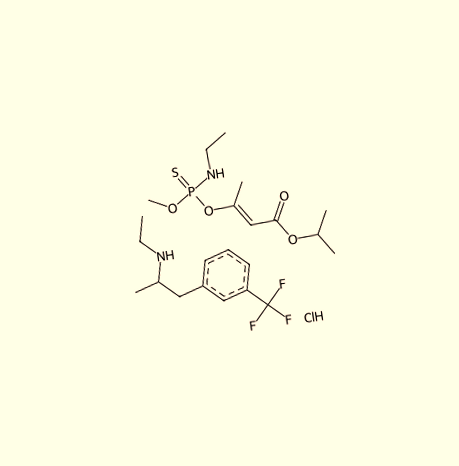 CCNC(C)Cc1cccc(C(F)(F)F)c1.CCNP(=S)(OC)O/C(C)=C/C(=O)OC(C)C.Cl